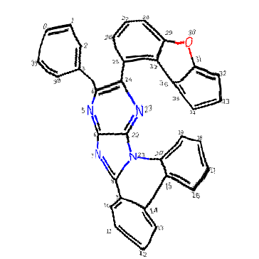 c1ccc(-c2nc3nc4c5ccccc5c5ccccc5n4c3nc2-c2cccc3oc4ccccc4c23)cc1